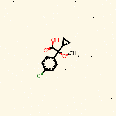 COC(C(=O)O)(c1ccc(Cl)cc1)C1CC1